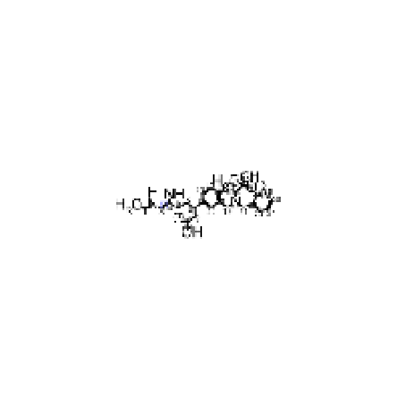 CCN/C=C(\N)CCC(CC(=O)O)c1ccc(Cl)c(CN2Cc3cccnc3OC(C)(C)C2)c1